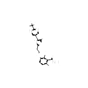 NC(=O)c1c(F)ccc(OCCc2nc(-c3cnc(C(F)(F)F)nc3)c(Cl)o2)c1F